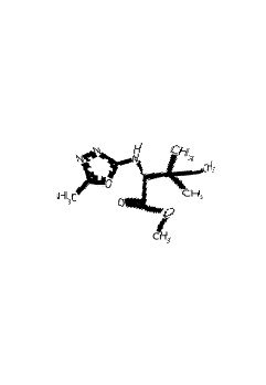 COC(=O)[C@@H](Nc1nnc(C)o1)C(C)(C)C